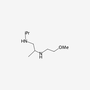 COCCNC(C)CNC(C)C